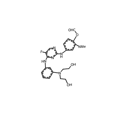 CNc1cc(Nc2ncc(F)c(Nc3cccc(N(CCO)CCO)c3)n2)ccc1OC=O